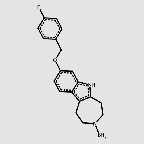 BN1CCc2[nH]c3cc(OCc4ccc(F)cc4)ccc3c2CC1